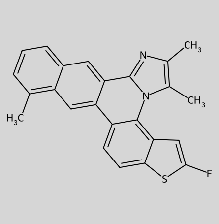 Cc1nc2c3cc4cccc(C)c4cc3c3ccc4sc(F)cc4c3n2c1C